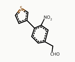 O=CCc1ccc(-c2ccsc2)c([N+](=O)[O-])c1